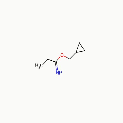 CCC(=N)OCC1CC1